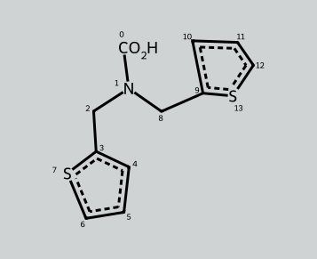 O=C(O)N(Cc1cccs1)Cc1cccs1